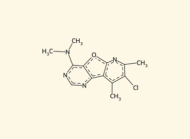 Cc1nc2oc3c(N(C)C)ncnc3c2c(C)c1Cl